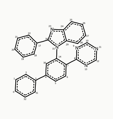 c1ccc(-c2ccc(-c3ncncn3)c(-n3c(-c4ccccc4)nc4ccccc43)c2)cc1